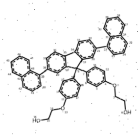 OCCOc1ccc(C2(c3ccc(OCCO)cc3)c3cc(-c4cccc5ccccc45)ccc3-c3ccc(-c4cccc5ccccc45)cc32)cc1